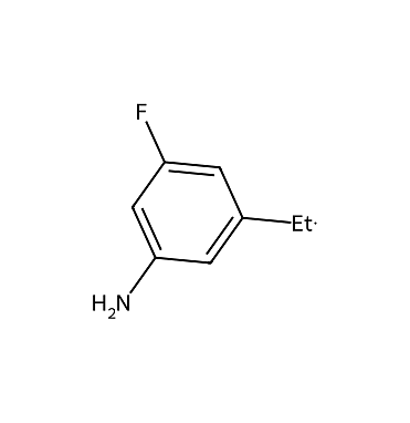 C[CH]c1cc(N)cc(F)c1